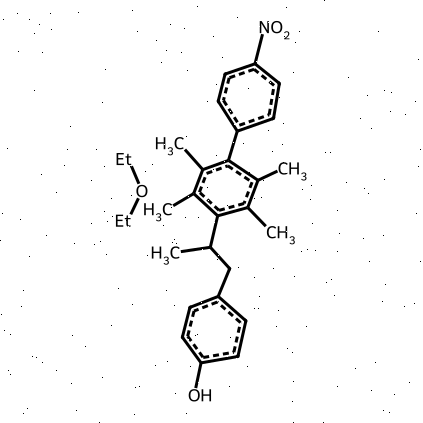 CCOCC.Cc1c(C)c(C(C)Cc2ccc(O)cc2)c(C)c(C)c1-c1ccc([N+](=O)[O-])cc1